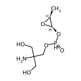 C[C@@H]1O[C@@H]1O[PH](=O)OCC(N)(CO)CO